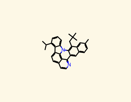 Cc1ccc2cc3c4nccc5ccc6c7c(C(C)C)cccc7n(c3c(CC(C)(C)C)c2c1)c6c54